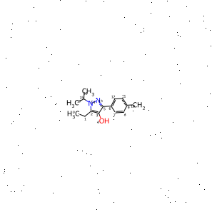 CCc1c(O)c(-c2ccc(C)cc2)nn1C(C)C